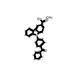 CC/C(=N\OC(C)=O)c1ccc2c(c1)c1ccccc1n2-c1ccc(C(=O)c2ccccc2)cc1